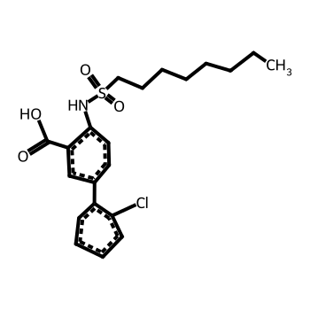 CCCCCCCCS(=O)(=O)Nc1ccc(-c2ccccc2Cl)cc1C(=O)O